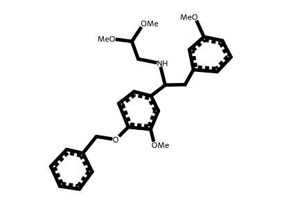 COc1cccc(CC(NCC(OC)OC)c2ccc(OCc3ccccc3)c(OC)c2)c1